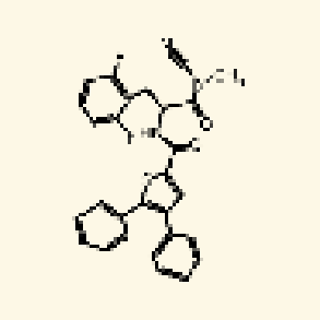 CN(C#N)C(=O)C(Cc1c(F)cccc1F)NC(=O)c1cc(-c2ccccc2)c(-c2ccccc2)s1